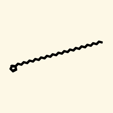 CCCCCCCCCCCCCCCCCCCCCCCCCCCCCCC1=[C]CC=C1